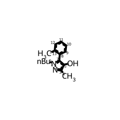 CCCCn1nc(C)c(O)c1-c1ccccc1C